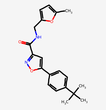 Cc1ccc(CNC(=O)c2cc(-c3ccc(C(C)(C)C)cc3)on2)o1